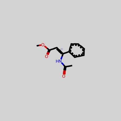 COC(=O)/C=C(\NC(C)=O)c1ccccc1